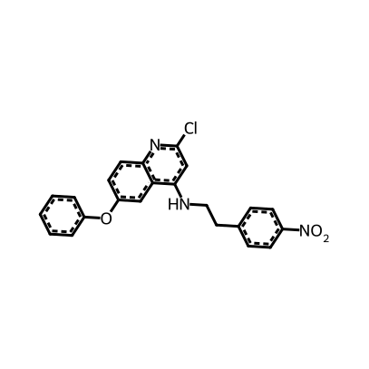 O=[N+]([O-])c1ccc(CCNc2cc(Cl)nc3ccc(Oc4ccccc4)cc23)cc1